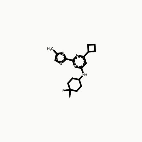 Cc1csc(-c2nc(NC3CCC(F)(F)CC3)cc(C3CCC3)n2)n1